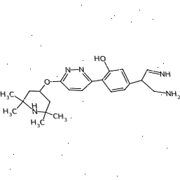 CC1(C)CC(Oc2ccc(-c3ccc(C(C=N)CN)cc3O)nn2)CC(C)(C)N1